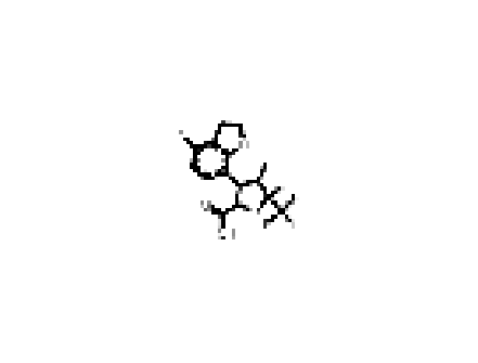 CC1C(c2ccc(F)c3c2OCC3)C(C(=O)O)OC1(C)C(F)(F)F